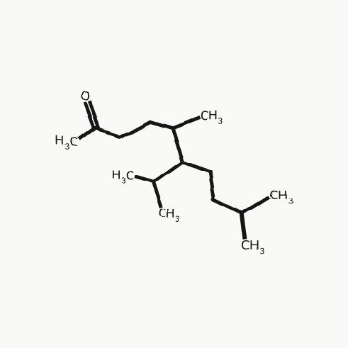 CC(=O)CCC(C)C(CCC(C)C)C(C)C